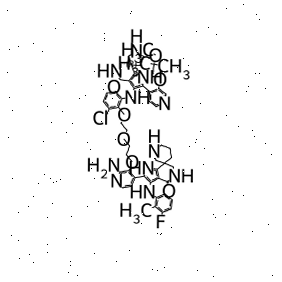 COC(C)(C)COc1cnccc1-c1[nH]c2c(c1Nc1cccc(Cl)c1OCCOCCOc1c(-c3[nH]c4c(c3Nc3cccc(F)c3C)C(=O)NCC43CCCNC3)ccnc1N)C(=O)NC[C@]21CCNC1